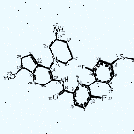 CSc1cc(F)c(-c2nc(C(=O)NC3=C(N4CCC[C@H](N)C4)C4=CCC(O)C4=NC3)ccc2F)c(F)c1